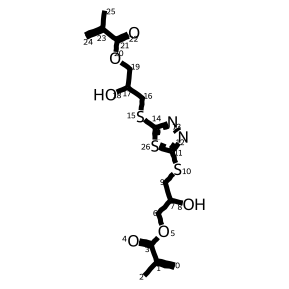 C=C(C)C(=O)OCC(O)CSc1nnc(SCC(O)COC(=O)C(=C)C)s1